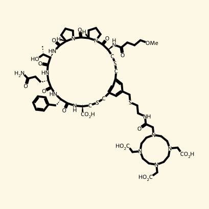 COCCCC(=O)N[C@H]1CSCc2cc(CSCCNC(=O)CN3CCN(CC(=O)O)CCN(CC(=O)O)CCN(CC(=O)O)CC3)cc(c2)CSC[C@@H](C(=O)O)NC(=O)[C@H](Cc2ccccc2)NC(=O)[C@H](CCC(N)=O)NC(=O)[C@H]([C@@H](C)O)NC(=O)[C@@H]2CCCN2C(=O)[C@@H]2CCCN2C1=O